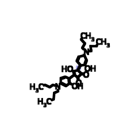 CCCCN(CCCC)c1ccc(C2=C(O)/C(=C3\C=CC(=[N+](CCCC)CCCC)C=C3O)C(=O)C2=O)c(O)c1